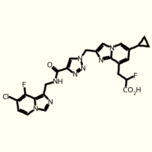 O=C(NCc1ncn2ccc(Cl)c(F)c12)c1cn(Cc2cn3cc(C4CC4)cc(CC(F)C(=O)O)c3n2)nn1